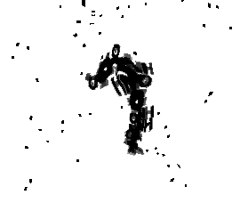 COc1ccc(C(=O)c2c[nH]c(C(=O)Nc3ccc(NC(=O)Nc4cc(C(C)(C)C)on4)cc3)c2)cc1